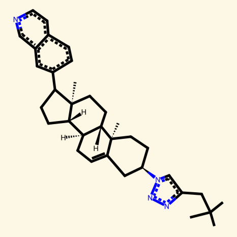 CC(C)(C)Cc1cn([C@@H]2CC[C@@]3(C)C(=CC[C@@H]4[C@@H]3CC[C@]3(C)C(c5ccc6ccncc6c5)CC[C@@H]43)C2)nn1